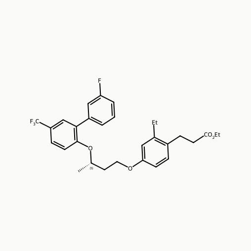 CCOC(=O)CCc1ccc(OCC[C@H](C)Oc2ccc(C(F)(F)F)cc2-c2cccc(F)c2)cc1CC